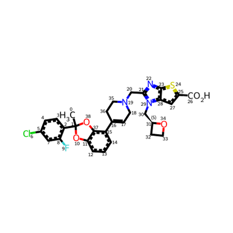 CC1(c2ccc(Cl)cc2F)Oc2cccc(C3=CCN(Cc4nc5sc(C(=O)O)cc5n4C[C@@H]4CCO4)CC3)c2O1